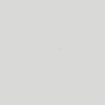 C=CN(C)/C(N/C(C=N)=C(\C)c1ccc(C)cc1)=C(\C(=C)c1ccccc1)c1ccccc1